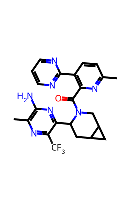 Cc1ccc(-c2ncccn2)c(C(=O)N2CC3CC3CC2c2nc(N)c(C)nc2C(F)(F)F)n1